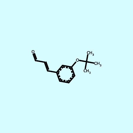 CC(C)(C)Oc1cccc(C=CC=O)c1